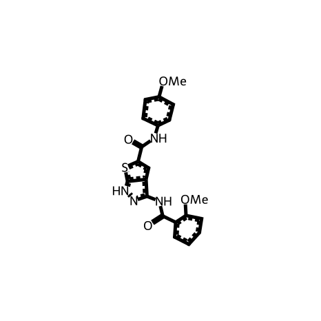 COc1ccc(NC(=O)c2cc3c(NC(=O)c4ccccc4OC)n[nH]c3s2)cc1